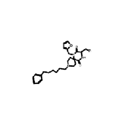 CC(C)CC1NC(=O)C2(CCN(CCCCCCc3ccccc3)CC2)N(Cc2ccco2)C1=O